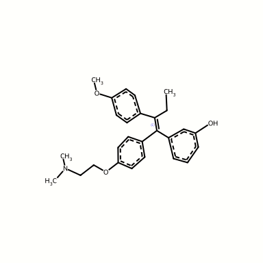 CC/C(=C(/c1ccc(OCCN(C)C)cc1)c1cccc(O)c1)c1ccc(OC)cc1